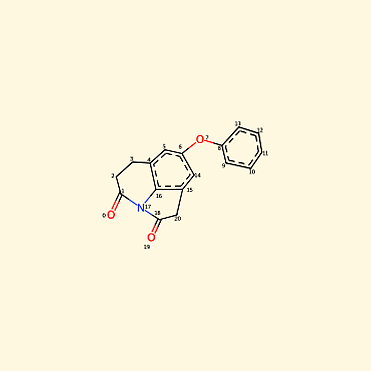 O=C1CCc2cc(Oc3ccccc3)cc3c2N1C(=O)C3